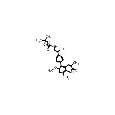 COc1cc(C)c2[nH]c(=O)c(C)cc2c1-c1ccc(C(C)CNC(=O)OC(C)(C)C)cc1